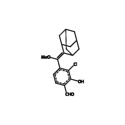 COC(=C1C2CC3CC(C2)CC1C3)c1ccc(C=O)c(O)c1Cl